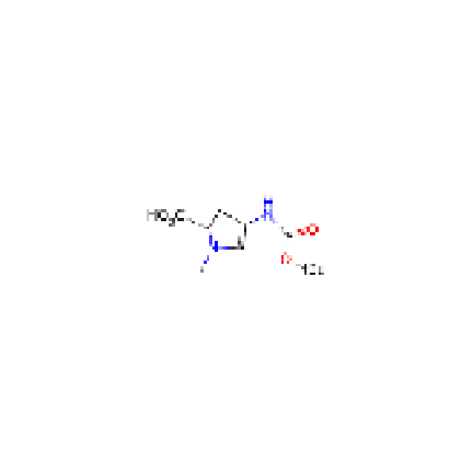 CN1C=C(NC(=O)OC(C)(C)C)CC1C(=O)O